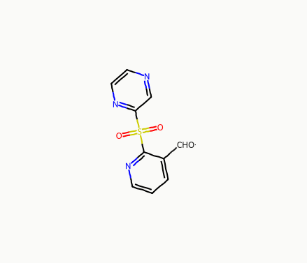 O=[C]c1cccnc1S(=O)(=O)c1cnccn1